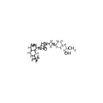 C[C@H](CO)CC1CCC(N2CC(NC(=O)CNc3nncc4ccc(C(F)(F)F)cc34)C2)CC1